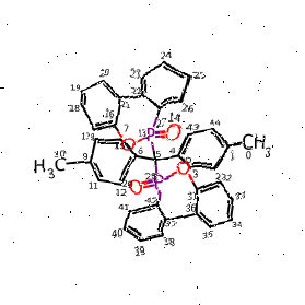 Cc1ccc(C(c2ccc(C)cc2)(P2(=O)Oc3ccccc3-c3ccccc32)P2(=O)Oc3ccccc3-c3ccccc32)cc1